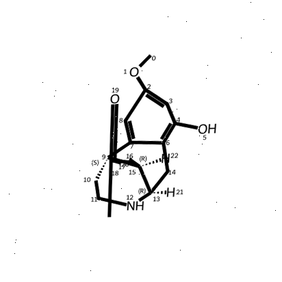 COc1cc(O)c2c(c1)[C@]13CCN[C@H](C2)[C@@H]1CCC(=O)C3